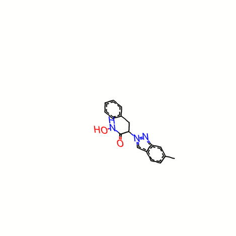 Cc1ccc2cn(C(Cc3ccccc3)C(=O)NO)nc2c1